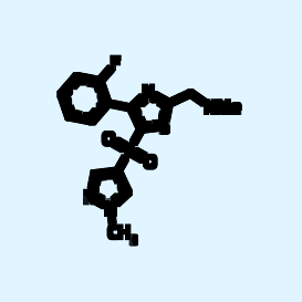 CNCc1nc(-c2ccccc2F)c(S(=O)(=O)c2cnn(C)c2)s1